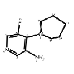 Nc1cncc(F)c1N1CC[CH]CC1